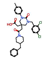 Cc1ccc(N2CC(CC(=O)O)(CC(=O)N3CCC(Cc4ccccc4)CC3)CN(Cc3ccc(Cl)cc3Cl)C2=O)cc1